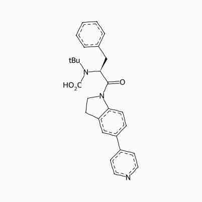 CC(C)(C)N(C(=O)O)[C@@H](Cc1ccccc1)C(=O)N1CCc2cc(-c3ccncc3)ccc21